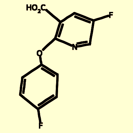 O=C(O)c1cc(F)cnc1Oc1ccc(F)cc1